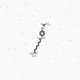 CC(=O)OOc1ccc(NC(=O)CCCCCCC(=O)NO)cc1